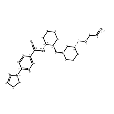 C=CCOC[C@@H]1CCCN(C[C@@H]2CCCC[C@H]2NC(=O)c2ccc(N3CCC=N3)nc2)C1